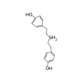 Oc1ccc(CC[SiH2]CCc2ccc(O)cc2)cc1